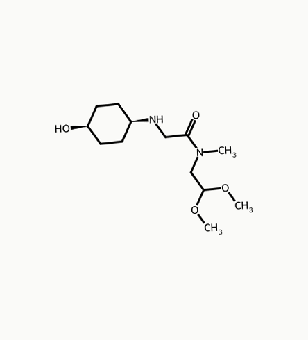 COC(CN(C)C(=O)CN[C@H]1CC[C@@H](O)CC1)OC